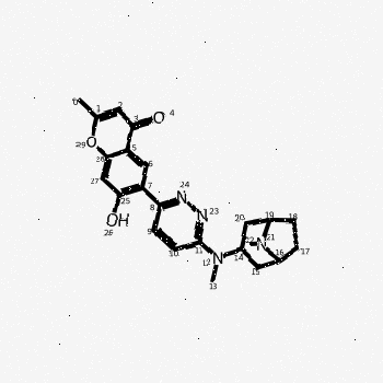 Cc1cc(=O)c2cc(-c3ccc(N(C)C4CC5CCC(C4)N5C)nn3)c(O)cc2o1